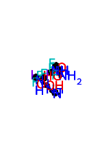 CC(N)C1(O)CN(C(=O)c2ccc(F)c(F)c2Nc2ccc(I)cc2F)C1.CN1CCC(CNCC2(O)CN(C(=O)c3ccc(F)c(F)c3Nc3ccc(I)cc3F)C2)CC1